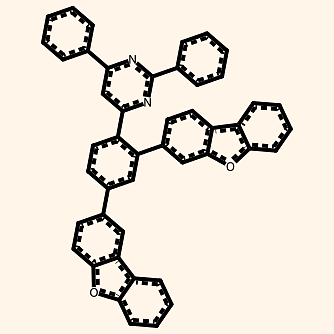 c1ccc(-c2cc(-c3ccc(-c4ccc5oc6ccccc6c5c4)cc3-c3ccc4c(c3)oc3ccccc34)nc(-c3ccccc3)n2)cc1